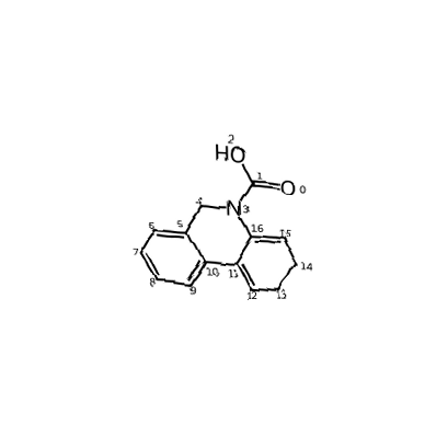 O=C(O)N1Cc2ccccc2C2=CCCC=C21